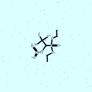 CCOP(=O)(OCC)C(O[SH](=O)=O)C(F)(F)F